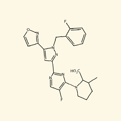 CC1CCCN(c2nc(-c3cc(-c4ccon4)n(Cc4ccccc4F)n3)ncc2F)C1C(=O)O